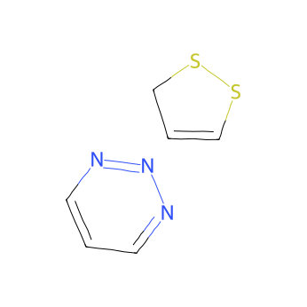 C1=CSSC1.c1cnnnc1